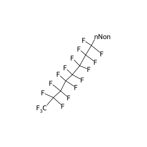 CCCCCCCCCC(F)(F)C(F)(F)C(F)(F)C(F)(F)C(F)(F)C(F)(F)C(F)(F)C(F)(F)F